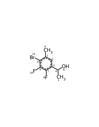 Cc1cc(C(C)O)c(F)c(F)c1Br